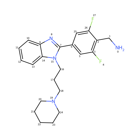 NCc1c(F)cc(-c2nc3ccccc3n2CCCN2CCCCC2)cc1F